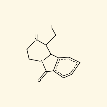 O=C1c2ccccc2C2C(CI)NCCN12